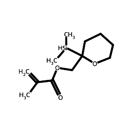 C=C(C)C(=O)OCC1([SiH](C)C)CCCCO1